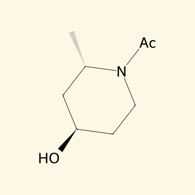 CC(=O)N1CC[C@@H](O)C[C@@H]1C